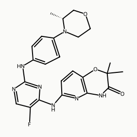 C[C@@H]1COCCN1c1ccc(Nc2ncc(F)c(Nc3ccc4c(n3)NC(=O)C(C)(C)O4)n2)cc1